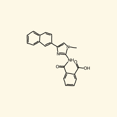 Cn1cc(-c2ccc3ccccc3c2)nc1NC(=O)c1ccccc1C(=O)O